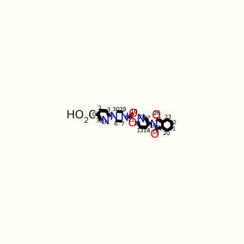 O=C(O)c1ccc(N2CCN(C(=O)Oc3ccc(N4C(=O)C5CCCCC5C4=O)cn3)CC2)nc1